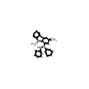 C=C1C=C2c3ccccc3N(C)C2C(N(Nc2ccccc2)c2ccccc2)=C1